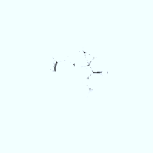 C=C(C)COC1(C(=O)OCC)CC1